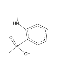 CNc1ccccc1P(C)(=O)O